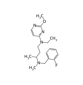 CCN(CCC(C)N(C)Cc1ccccc1F)c1ccnc(OC)n1